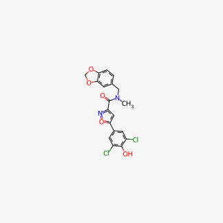 CN(Cc1ccc2c(c1)OCO2)C(=O)c1cc(-c2cc(Cl)c(O)c(Cl)c2)on1